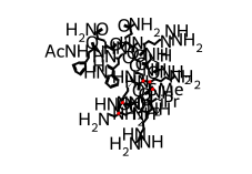 CSCCC(NC(=O)[C@H](CC(N)=O)NC(=O)C(CCCNC(=N)N)NC(=O)[C@H](CCC(N)=O)NC(=O)C(Cc1c[nH]c2ccccc12)NC(=O)[C@H](CCC(N)=O)NC(=O)C(Cc1ccccc1)NC(C)=O)C(=O)N[C@@H](CCCNC(=N)N)C(=O)NC(CCCCN)C(=O)N[C@H](C(=O)NC(CCCNC(=N)N)C(=O)N[C@@H](CCCCN)C(N)=O)C(C)C